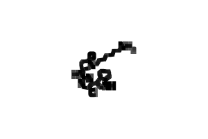 NCCCCCCCN1CC(Nc2ncc(Cl)c(-c3c[nH]c4ccccc34)n2)CCC1=O